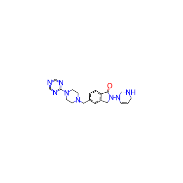 O=C1c2ccc(CN3CCN(c4ncncn4)CC3)cc2CN1N1C=CCNC1